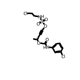 CC(C#COS(=O)(=O)NCCCl)OC(=O)Nc1cccc(Cl)c1